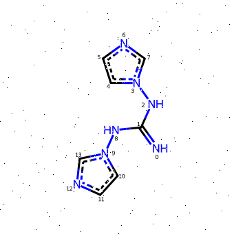 N=C(Nn1ccnc1)Nn1ccnc1